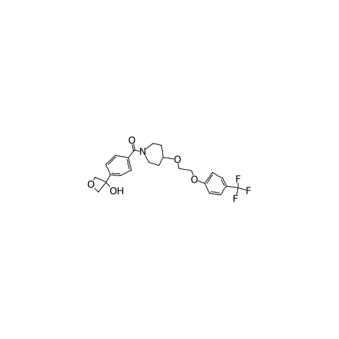 O=C(c1ccc(C2(O)COC2)cc1)N1CCC(OCCOc2ccc(C(F)(F)F)cc2)CC1